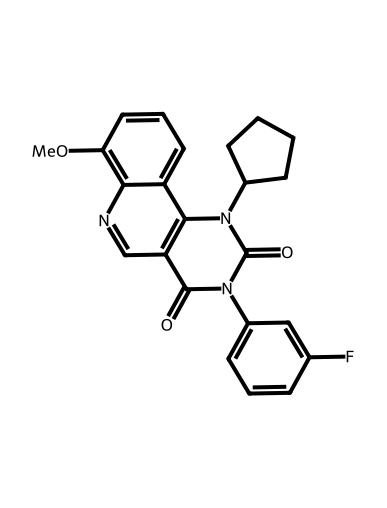 COc1cccc2c1ncc1c(=O)n(-c3cccc(F)c3)c(=O)n(C3CCCC3)c12